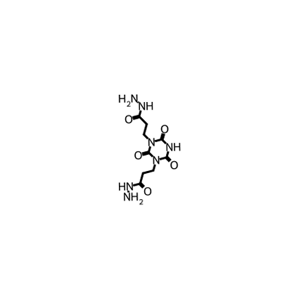 NNC(=O)CCn1c(=O)[nH]c(=O)n(CCC(=O)NN)c1=O